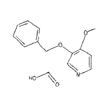 COc1ccncc1OCc1ccccc1.O=CO